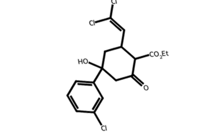 CCOC(=O)C1C(=O)CC(O)(c2cccc(Cl)c2)CC1C=C(Cl)Cl